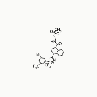 CS(=O)(=O)CCNC(=O)c1ccc(C2=NOC(c3cc(Br)cc(C(F)(F)F)c3)(C(F)(F)F)C2)c2ccccc12